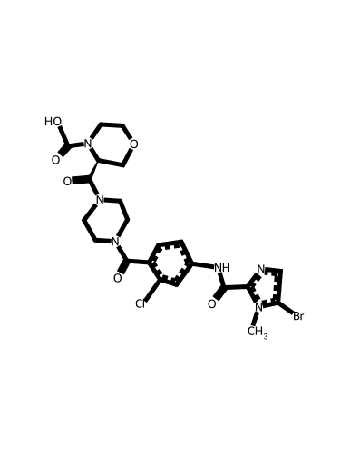 Cn1c(Br)cnc1C(=O)Nc1ccc(C(=O)N2CCN(C(=O)[C@@H]3COCCN3C(=O)O)CC2)c(Cl)c1